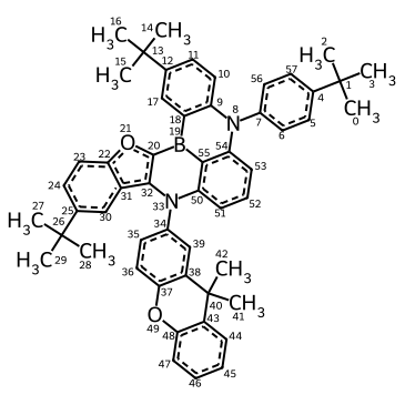 CC(C)(C)c1ccc(N2c3ccc(C(C)(C)C)cc3B3c4oc5ccc(C(C)(C)C)cc5c4N(c4ccc5c(c4)C(C)(C)c4ccccc4O5)c4cccc2c43)cc1